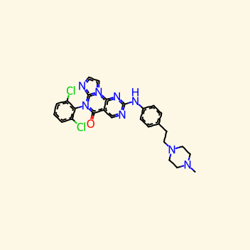 CN1CCN(CCc2ccc(Nc3ncc4c(=O)n(-c5c(Cl)cccc5Cl)c5nccn5c4n3)cc2)CC1